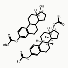 CCC(=O)Oc1ccc2c(c1)CC[C@@H]1[C@@H]2CC[C@]2(C)[C@@H](OC(=O)CC)CC[C@@H]12.CCCCC(=O)Oc1ccc2c(c1)CCC1C2CC[C@@]2(C)C1CC[C@@H]2O